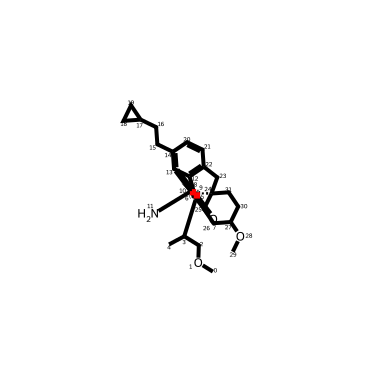 COCC(C)N1C(=O)[C@]2(N=C1N)c1cc(CCC3CC3)ccc1CC21CCC(OC)CC1